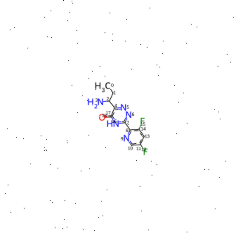 CCC(N)c1nnc(-c2ncc(F)cc2F)[nH]c1=O